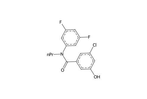 CCCN(C(=O)c1cc(O)cc(Cl)c1)c1cc(F)cc(F)c1